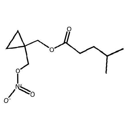 CC(C)CCC(=O)OCC1(CO[N+](=O)[O-])CC1